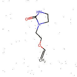 C=COCCN1CCNC1=O